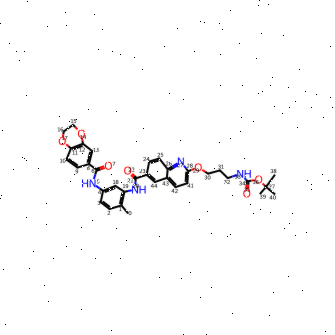 Cc1ccc(NC(=O)c2ccc3c(c2)OCCO3)cc1NC(=O)c1ccc2nc(OCCCNC(=O)OC(C)(C)C)ccc2c1